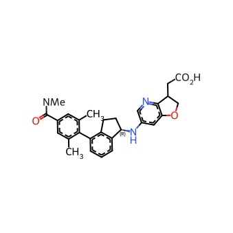 CNC(=O)c1cc(C)c(-c2cccc3c2CC[C@H]3Nc2cnc3c(c2)OCC3CC(=O)O)c(C)c1